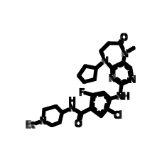 CCN1CCC(NC(=O)c2cc(Cl)c(Nc3ncc4c(n3)N(C3CCCC3)CCC(=O)N4C)cc2F)CC1